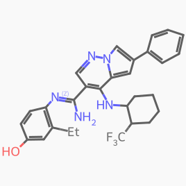 CCc1cc(O)ccc1/N=C(\N)c1cnn2cc(-c3ccccc3)cc2c1NC1CCCCC1C(F)(F)F